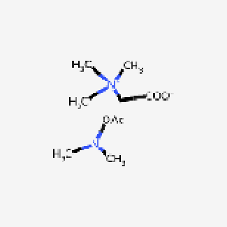 CC(=O)ON(C)C.C[N+](C)(C)CC(=O)[O-]